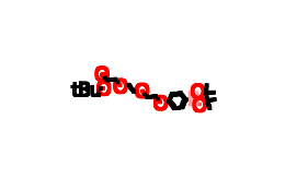 CC(C)(C)OC(=O)COCCOCCOc1ccc(B2OC(C)(C)C(C)(C)O2)cc1